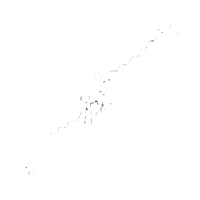 CCCCCCCCCCCCCCNC(=O)[C@H](COC(=O)CCCCCCCCCCCCC)N(C)C